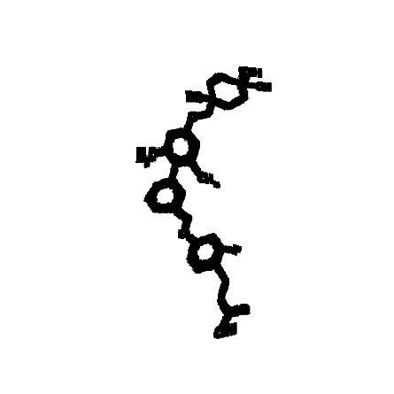 Cc1cc(OCC2(O)CCS(O)(O)CC2)cc(C)c1-c1cccc(COc2ccc(CCC(=O)O)c(F)c2)c1